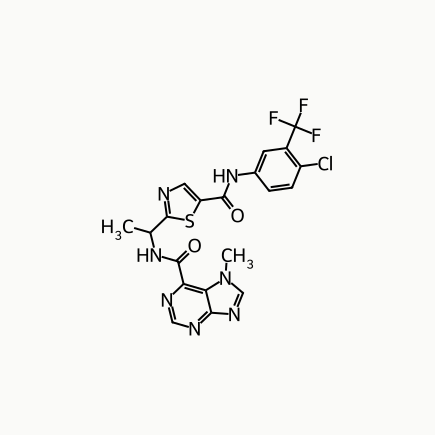 CC(NC(=O)c1ncnc2ncn(C)c12)c1ncc(C(=O)Nc2ccc(Cl)c(C(F)(F)F)c2)s1